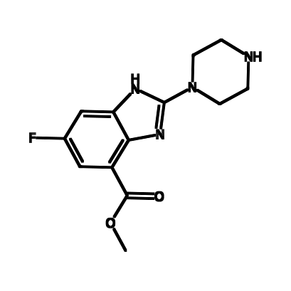 COC(=O)c1cc(F)cc2[nH]c(N3CCNCC3)nc12